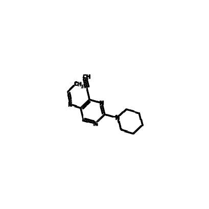 C#Cc1nc(N2CCCCC2)ncc1/N=C\C